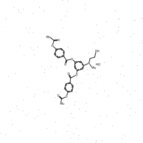 CC(C)(C)C(=O)Oc1ccc(C(=O)Oc2cc(OC(=O)c3ccc(OC(=O)C(C)(C)C)cc3)cc(N(CCO)C(C)(C)C)c2)cc1.Cl